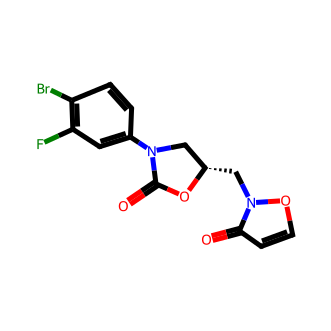 O=C1O[C@@H](Cn2occc2=O)CN1c1ccc(Br)c(F)c1